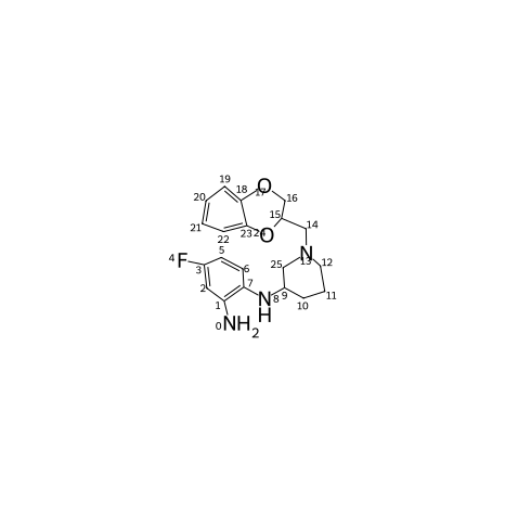 Nc1cc(F)ccc1NC1CCCN(CC2COc3ccccc3O2)C1